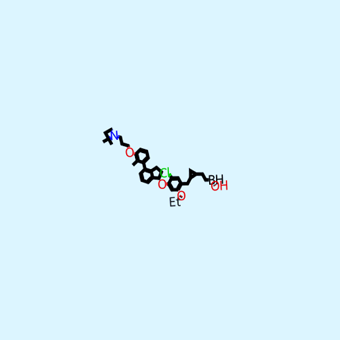 CCOc1cc(O[C@H]2CCc3c(-c4cccc(OCCCN5CCC5(C)C)c4C)cccc32)c(Cl)cc1CC1CC1CCBO